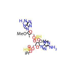 CO[C@@H]1[C@H](C)[C@@H](COP(=O)(S)O[C@H]2[C@@H](OC)[C@H](n3cnc4c(N)ncnc43)O[C@@H]2COP(=O)(S)OC(C)C)O[C@H]1n1cnc2c(N)ncnc21